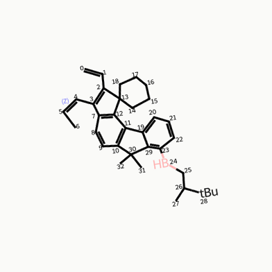 C=CC1=C(/C=C\C)c2ccc3c(c2C12CCCCC2)-c1cccc(BCC(C)C(C)(C)C)c1C3(C)C